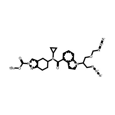 CC(C)(C)OC(=O)n1cc2c(n1)CCC(N(C(=O)c1cccc3c1ccn3C(CN=[N+]=[N-])COCN=[N+]=[N-])C1CC1)C2